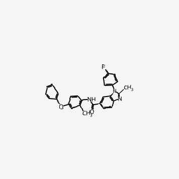 Cc1cc(Oc2ccccc2)ccc1NC(=O)c1ccc2nc(C)n(-c3ccc(F)cc3)c2c1